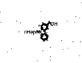 CCCCCCCn1c2ccccc2c2cc(CO)ccc21